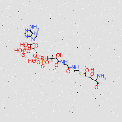 CC(=O)C(N)CC(O)CC(=O)SCCNC(=O)CCNC(=O)[C@H](O)C(C)(C)COP(=O)(O)OP(=O)(O)OC[C@H]1O[C@@H](n2cnc3c(N)ncnc32)[C@H](O)[C@@H]1OP(=O)(O)O